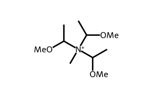 COC(C)[N+](C)(C(C)OC)C(C)OC